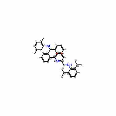 Cc1ccc(C)c(NC(c2ccccc2)c2ccccc2-c2cccc(CNc3c(C(C)C)cccc3C(C)C)n2)c1